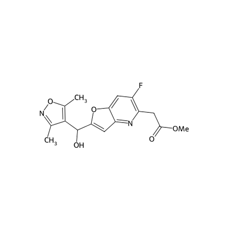 COC(=O)Cc1nc2cc(C(O)c3c(C)noc3C)oc2cc1F